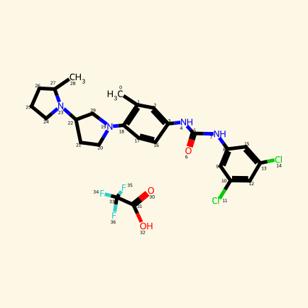 Cc1cc(NC(=O)Nc2cc(Cl)cc(Cl)c2)ccc1N1CCC(N2CCCC2C)C1.O=C(O)C(F)(F)F